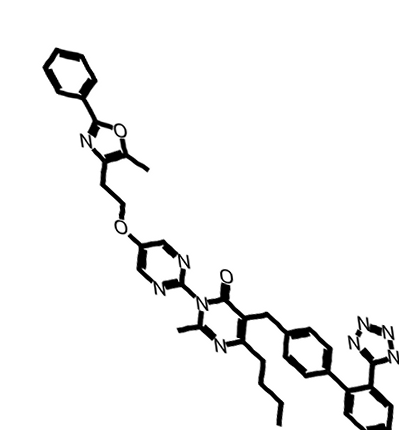 CCCCc1nc(C)n(-c2ncc(OCCc3nc(-c4ccccc4)oc3C)cn2)c(=O)c1Cc1ccc(-c2ccccc2-c2nnn[nH]2)cc1